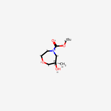 CC(C)(C)OC(=O)N1CCOC[C@](C)(O)C1